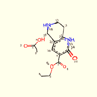 CC(=O)O.CCOC(=O)c1cc2c([nH]c1=O)CCNC2